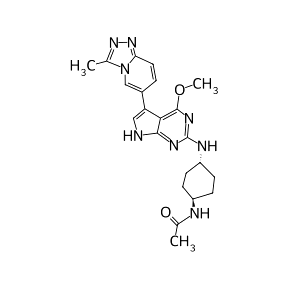 COc1nc(N[C@H]2CC[C@H](NC(C)=O)CC2)nc2[nH]cc(-c3ccc4nnc(C)n4c3)c12